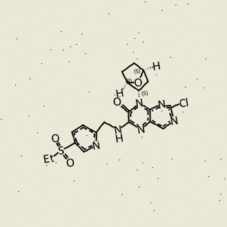 CCS(=O)(=O)c1ccc(CNc2nc3cnc(Cl)nc3n([C@H]3C[C@@H]4CC[C@H]3O4)c2=O)nc1